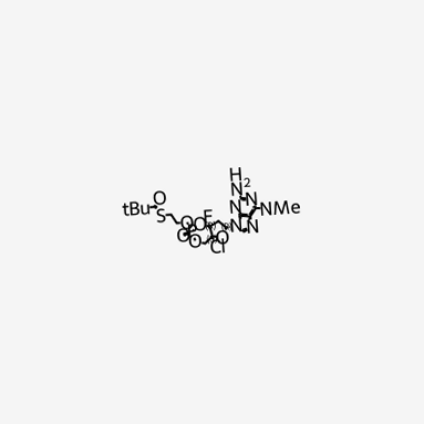 CNc1nc(N)nc2c1ncn2[C@H]1C[C@]2(F)OP(=O)(OCCSC(=O)C(C)(C)C)OC[C@@]2(Cl)O1